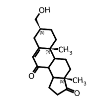 C[C@]12CC[C@H](CO)CC1=CC(=O)C1C2CC[C@]2(C)C(=O)CCC12